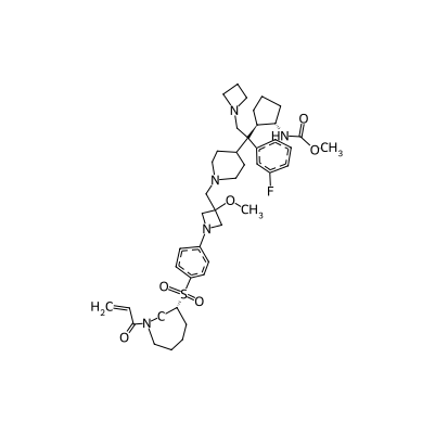 C=CC(=O)N1CCCC[C@@H](S(=O)(=O)c2ccc(N3CC(CN4CCC(C(CN5CCC5)(c5cccc(F)c5)[C@H]5CCC[C@@H]5NC(=O)OC)CC4)(OC)C3)cc2)C1